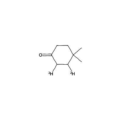 [2H]C1C(=O)CCC(C)(C)C1[2H]